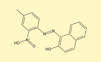 Cc1ccc(/N=N/c2c(O)ccc3ccccc23)c([N+](=O)O)c1